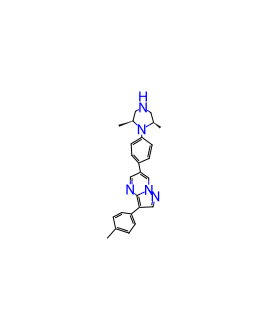 Cc1ccc(-c2cnn3cc(-c4ccc(N5[C@H](C)CNC[C@@H]5C)cc4)cnc23)cc1